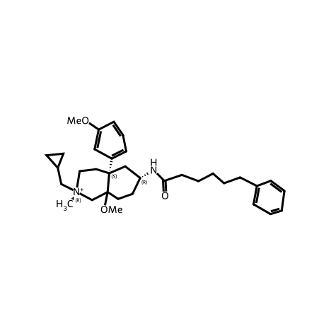 COc1cccc([C@@]23CC[N@+](C)(CC4CC4)CC2(OC)CC[C@@H](NC(=O)CCCCCc2ccccc2)C3)c1